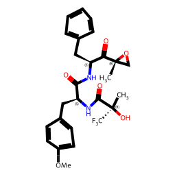 COc1ccc(C[C@H](NC(=O)[C@@](C)(O)C(F)(F)F)C(=O)N[C@@H](Cc2ccccc2)C(=O)[C@@]2(C)CO2)cc1